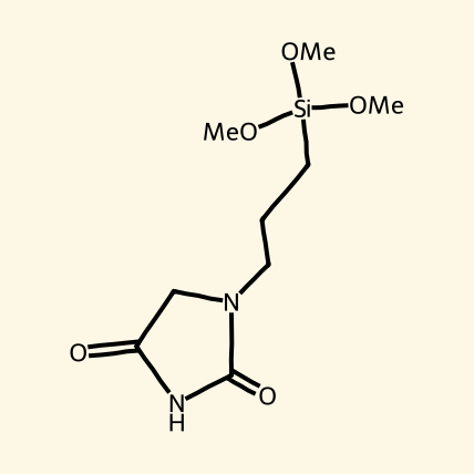 CO[Si](CCCN1CC(=O)NC1=O)(OC)OC